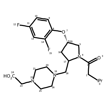 CC(C)CC(=O)N1C[C@@H](Oc2ccc(F)cc2F)CC1CN1CCN(CC(=O)O)CC1